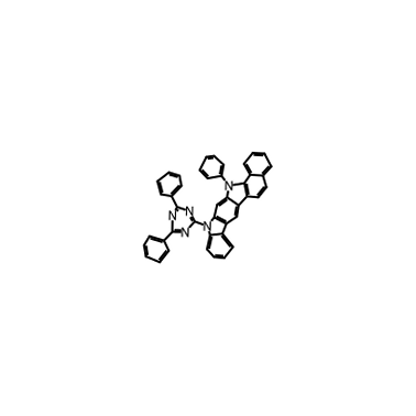 c1ccc(-c2nc(-c3ccccc3)nc(-n3c4ccccc4c4cc5c6ccc7ccccc7c6n(-c6ccccc6)c5cc43)n2)cc1